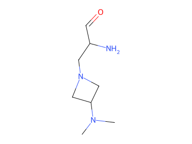 CN(C)C1CN(CC(N)C=O)C1